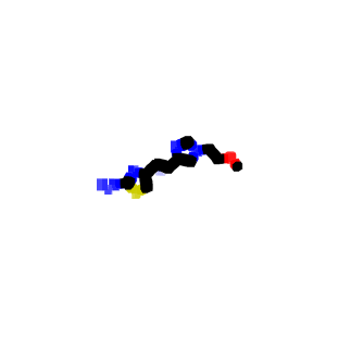 COCCn1cnc(/C=C/c2csc(N)n2)c1